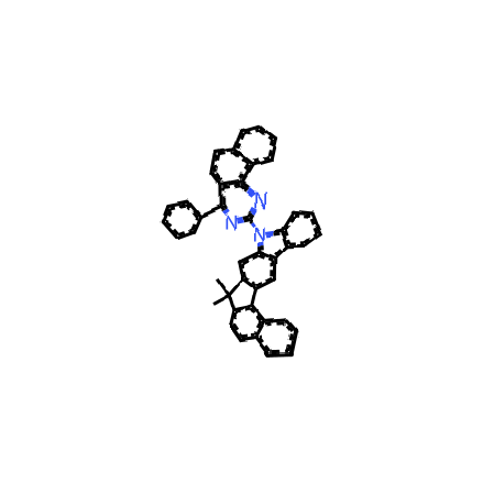 CC1(C)c2cc3c(cc2-c2c1ccc1ccccc21)c1ccccc1n3-c1nc(-c2ccccc2)c2ccc3ccccc3c2n1